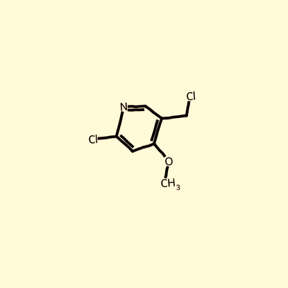 COc1cc(Cl)ncc1CCl